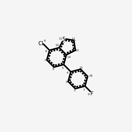 Fc1ccc(-c2ccc(Cl)c3s[c]cc23)cc1